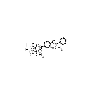 C[C@H](Oc1ccc(B2OC(C)(C)C(C)(C)O2)cc1F)c1ccccc1